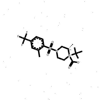 Cc1cc(C(F)(F)F)ccc1S(=O)(=O)N1CC[N+](C(=O)[O-])(C(C)(C)C)[C@@H](C)C1